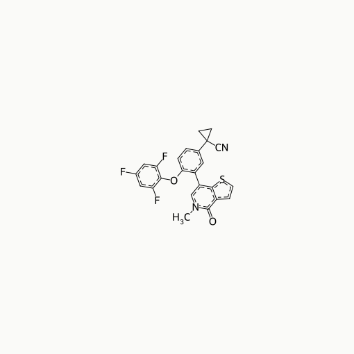 Cn1cc(-c2cc(C3(C#N)CC3)ccc2Oc2c(F)cc(F)cc2F)c2sccc2c1=O